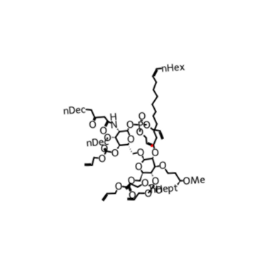 C=CCOC(=O)OC[C@H]1O[C@@H](OC[C@H]2O[C@H](OP(=O)(OCC=C)OCC=C)[C@@H](NC(=O)CC(=O)CCCCCCCCCCC)[C@@H](OCCCCCCCCCC)[C@@H]2OC(=O)OCC=C)[C@H](OCCCCCCCCCC/C=C\CCCCCC)[C@@H](OCC[C@H](CCCCCCC)OC)[C@@H]1OP(=O)(OCC=C)OCC=C